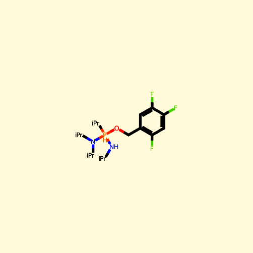 CC(C)N[PH](OCc1cc(F)c(F)cc1F)(C(C)C)N(C(C)C)C(C)C